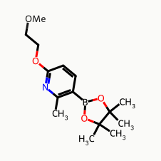 COCCOc1ccc(B2OC(C)(C)C(C)(C)O2)c(C)n1